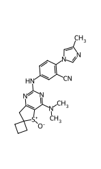 Cc1cn(-c2ccc(Nc3nc4c(c(N(C)C)n3)[S+]([O-])C3(CCC3)C4)cc2C#N)cn1